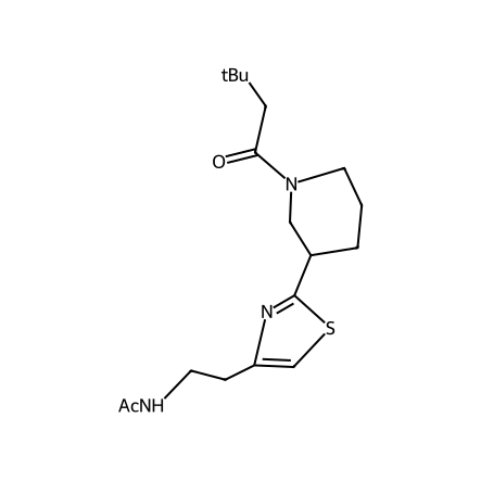 CC(=O)NCCc1csc(C2CCCN(C(=O)CC(C)(C)C)C2)n1